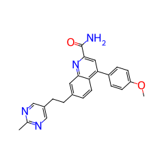 COc1ccc(-c2cc(C(N)=O)nc3cc(CCc4cnc(C)nc4)ccc23)cc1